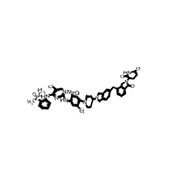 CCc1cc(Nc2ncc(Cl)c(Nc3ccccc3P(C)(C)=O)n2)c(OC)cc1N1CCC(N2Cc3ccc(Cc4cccc5c4CN(C4CCC(=O)NC4=O)C5=O)cc3C2)CC1